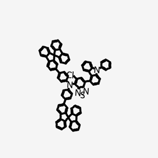 Clc1cc(-c2cccc3c2c2ccccc2n3-c2ccccc2)c2nsnc2c1N(c1ccc(-c2ccc3c(c2)C2(c4ccccc4-c4ccccc42)c2ccccc2-3)cc1)c1ccc(-c2ccc3c(c2)C2(c4ccccc4-c4ccccc42)c2ccccc2-3)cc1